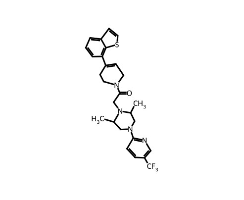 CC1CN(c2ccc(C(F)(F)F)cn2)CC(C)N1CC(=O)N1CC=C(c2cccc3ccsc23)CC1